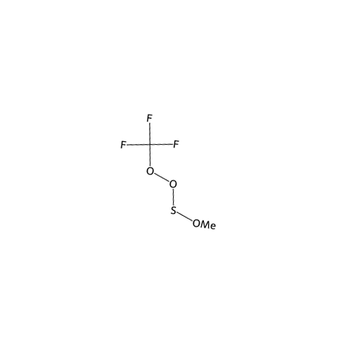 COSOOC(F)(F)F